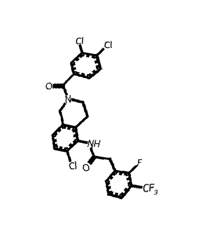 O=C(Cc1cccc(C(F)(F)F)c1F)Nc1c(Cl)ccc2c1CCN(C(=O)c1ccc(Cl)c(Cl)c1)C2